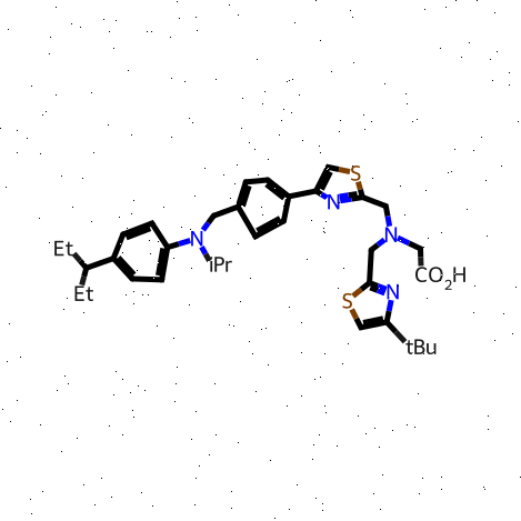 CCC(CC)c1ccc(N(Cc2ccc(-c3csc(CN(CC(=O)O)Cc4nc(C(C)(C)C)cs4)n3)cc2)C(C)C)cc1